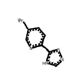 CC(C)c1ccc(-c2nnc[nH]2)nc1